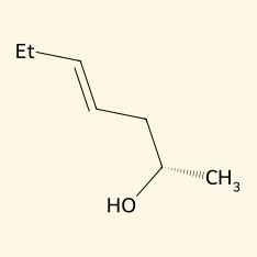 CC/C=C/C[C@H](C)O